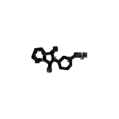 O=C(O)N1CCCC(N2C(=O)c3cccnc3C2=O)C1